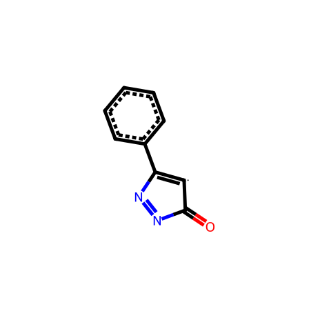 O=C1[C]=C(c2ccccc2)N=N1